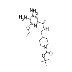 C=C(NCC1CCN(C(=O)OC(C)(C)C)CC1)c1cc(N)c(N)c(OCC)n1